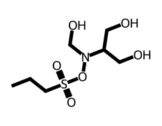 CCCS(=O)(=O)ON(CO)C(CO)CO